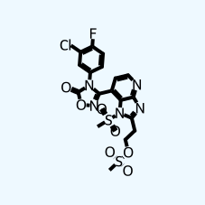 CS(=O)(=O)OCCc1nc2nccc(-c3noc(=O)n3-c3ccc(F)c(Cl)c3)c2n1S(C)(=O)=O